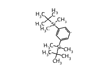 CC(C)(C)[Si](C)(C)c1c[c]cc([Si](C)(C)C(C)(C)C)c1